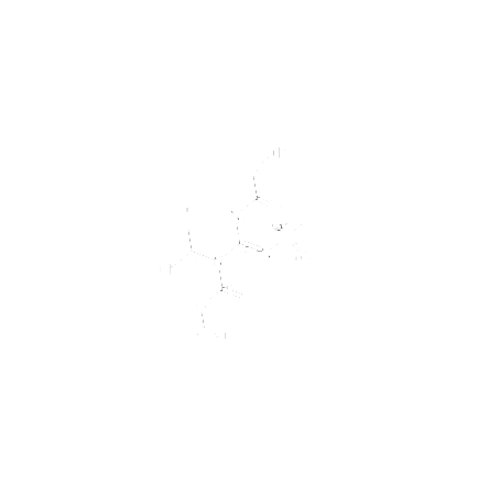 CC(C)(C)OC(=O)NC(=NS(=O)(=O)C(F)(F)F)N(C(=O)OC(C)(C)C)C(Cl)Cl